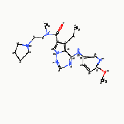 CCc1c(C(=O)N(C)CCN2CCCC2)cn2ncnc(Nc3ccc(OC)nc3)c12